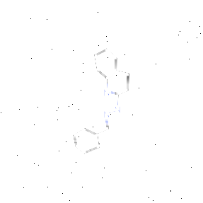 C(=NNc1ccc2ccccc2n1)c1ccccc1